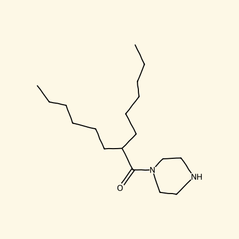 CCCCCCC(CCCCCC)C(=O)N1CCNCC1